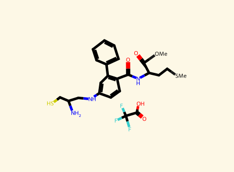 COC(=O)C(CCSC)NC(=O)c1ccc(NCC(N)CS)cc1-c1ccccc1.O=C(O)C(F)(F)F